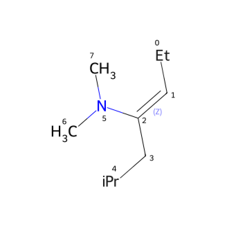 CC/C=C(/CC(C)C)N(C)C